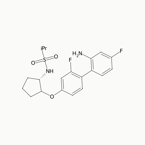 CC(C)S(=O)(=O)N[C@H]1CCCC1Oc1ccc(-c2ccc(F)cc2N)c(F)c1